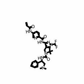 C=CC(=O)Nc1ccc(C(=O)Nc2nn(C(F)F)c3c2CN(C(=O)NC(CN(C)C)c2ccccc2)C3(C)C)nc1